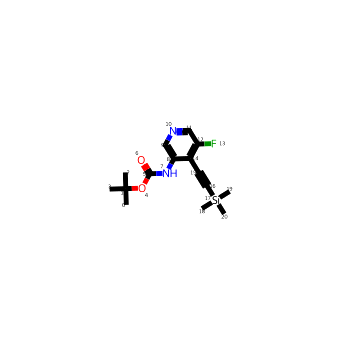 CC(C)(C)OC(=O)Nc1cncc(F)c1C#C[Si](C)(C)C